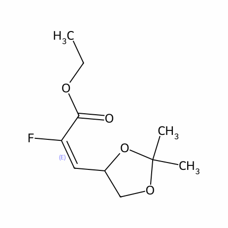 CCOC(=O)/C(F)=C\C1COC(C)(C)O1